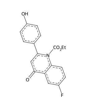 CCOC(=O)n1c(-c2ccc(O)cc2)cc(=O)c2cc(F)ccc21